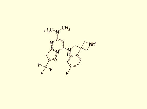 CN(C)c1cc(NCC2(c3ccc(F)cc3)CNC2)n2nc(C(F)(F)F)cc2n1